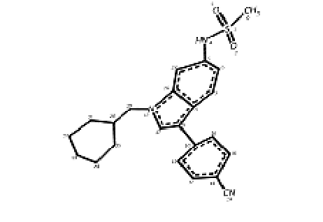 CS(=O)(=O)Nc1ccc2c(-c3ccc(C#N)cc3)cn(CC3CCCCC3)c2c1